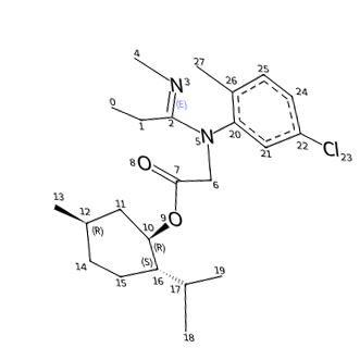 CC/C(=N\C)N(CC(=O)O[C@@H]1C[C@H](C)CC[C@H]1C(C)C)c1cc(Cl)ccc1C